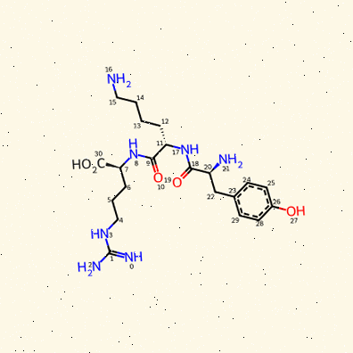 N=C(N)NCCC[C@H](NC(=O)[C@H](CCCCN)NC(=O)[C@@H](N)Cc1ccc(O)cc1)C(=O)O